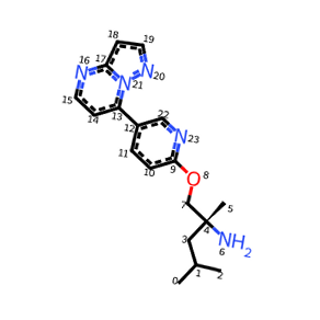 CC(C)C[C@@](C)(N)COc1ccc(-c2ccnc3ccnn23)cn1